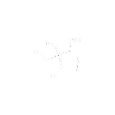 CCCCCCC(OCC)C([SiH3])(OCC)OCC